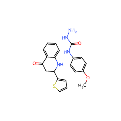 COc1ccc(NC(=O)NN)cc1.O=C1CC(c2cccs2)Nc2ccccc21